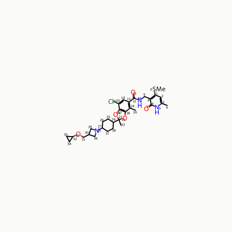 CSc1cc(C)[nH]c(=O)c1CNC(=O)c1cc(Cl)c2c(c1C)OC(C)(C1CCC(N3CC(COC4CC4)C3)CC1)O2